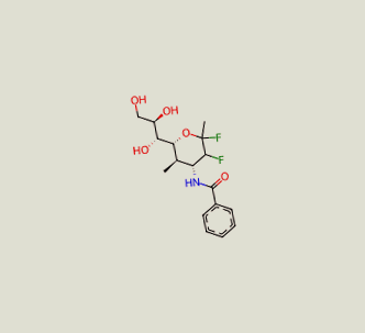 C[C@H]1[C@H]([C@H](O)[C@H](O)CO)OC(C)(F)C(F)[C@@H]1NC(=O)c1ccccc1